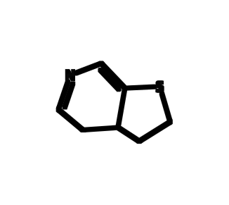 C1=NC=C2SCCC2C1